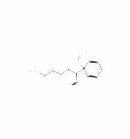 CCCCCC(C=O)C1(OC)C=CCC=C1